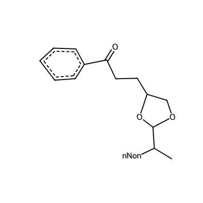 CCCCCCCCCC(C)C1OCC(CCC(=O)c2ccccc2)O1